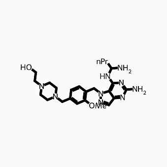 CCCC(N)Nc1nc(N)nc2cnn(Cc3ccc(CN4CCN(CCO)CC4)cc3OC)c12